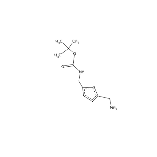 CC(C)(C)OC(=O)NCc1ccc(CN)s1